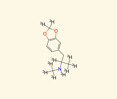 [2H]N(C([2H])([2H])[2H])C([2H])(Cc1ccc2c(c1)OC([2H])([2H])O2)C([2H])([2H])[2H]